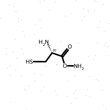 NOC(=O)[C@@H](N)CS